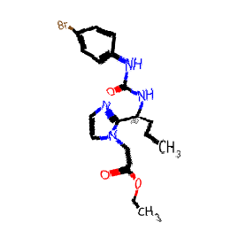 CCC[C@H](NC(=O)Nc1ccc(Br)cc1)c1nccn1CC(=O)OCC